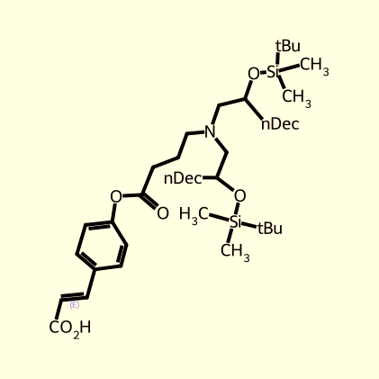 CCCCCCCCCCC(CN(CCCC(=O)Oc1ccc(/C=C/C(=O)O)cc1)CC(CCCCCCCCCC)O[Si](C)(C)C(C)(C)C)O[Si](C)(C)C(C)(C)C